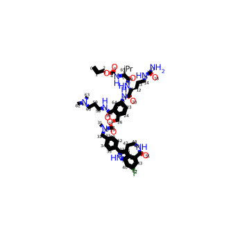 C=CCOC(=O)N[C@H](C(=O)N[C@@H](CCCNC(N)=O)C(=O)Nc1ccc(COC(=O)N(C)Cc2ccc(-c3[nH]c4cc(F)cc5c4c3CCNC5=O)cc2)c(C(=O)NCCCN(C)C)c1)C(C)C